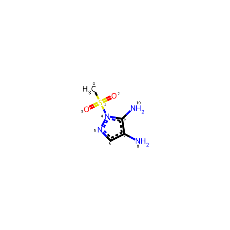 CS(=O)(=O)n1ncc(N)c1N